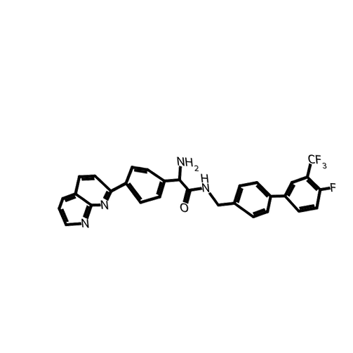 NC(C(=O)NCc1ccc(-c2ccc(F)c(C(F)(F)F)c2)cc1)c1ccc(-c2ccc3cccnc3n2)cc1